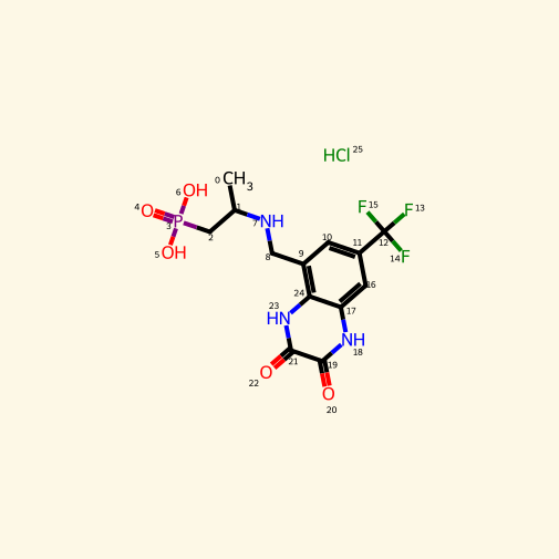 CC(CP(=O)(O)O)NCc1cc(C(F)(F)F)cc2[nH]c(=O)c(=O)[nH]c12.Cl